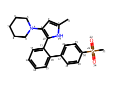 Cc1cc(N2CCCCC2)c(-c2ccccc2-c2ccc(S(C)(=O)=O)cc2)[nH]1